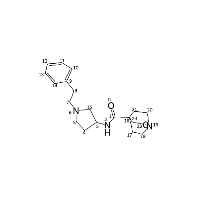 O=C(NC1CCN(CCc2ccccc2)C1)C12CCN(CC1)CC2